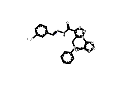 Cc1cccc(/C=N/NC(=O)c2nnn(-c3nonc3N)c2CN(C)c2ccccc2)c1